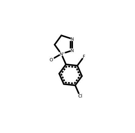 [O-][N+]1(c2ccc(Cl)cc2F)CCN=N1